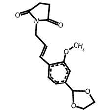 COc1cc(C2OCCO2)ccc1C=CCN1C(=O)CCC1=O